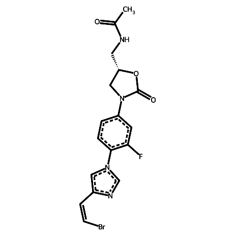 CC(=O)NC[C@H]1CN(c2ccc(-n3cnc(/C=C\Br)c3)c(F)c2)C(=O)O1